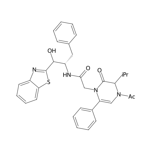 CC(=O)N1C=C(c2ccccc2)N(CC(=O)N[C@@H](Cc2ccccc2)C(O)c2nc3ccccc3s2)C(=O)C1C(C)C